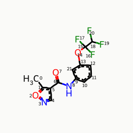 Cc1oncc1C(=O)Nc1cccc(OC(F)(F)C(F)F)c1